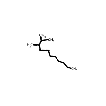 CCCCCCCCC(C)[C](C)C